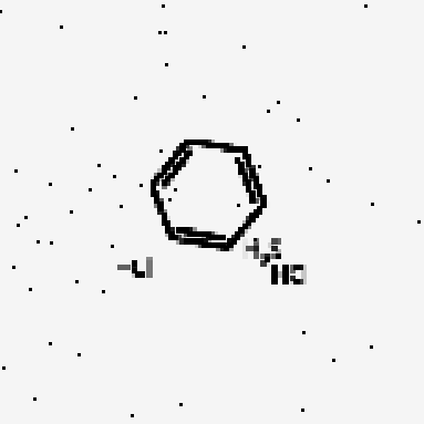 Cl.Cl.S.c1ccccc1